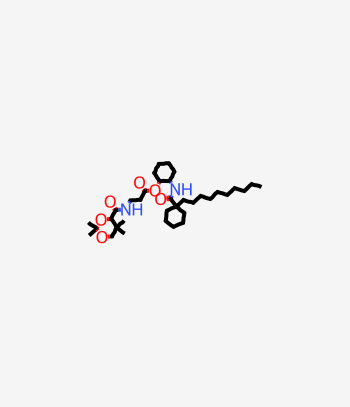 CCCCCCCCCCC1(C(=O)NC2CCCCC2OC(=O)CCNC(=O)C2OC(C)(C)OCC2(C)C)CCCCC1